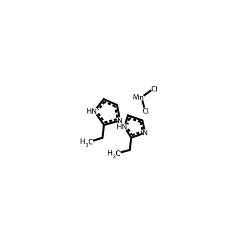 CCc1ncc[nH]1.CCc1ncc[nH]1.[Cl][Mn][Cl]